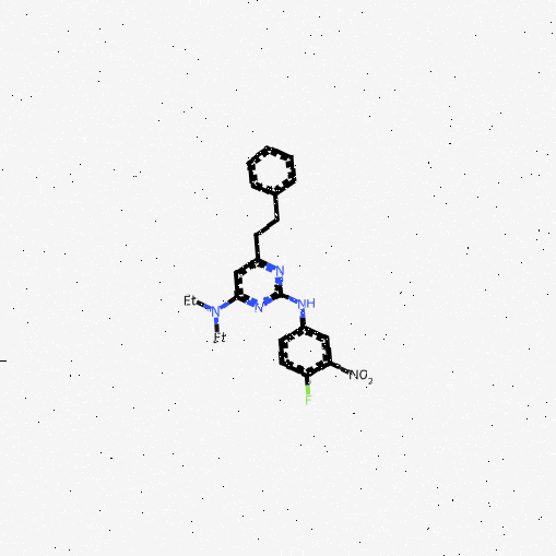 CCN(CC)c1cc(CCc2ccccc2)nc(Nc2ccc(F)c([N+](=O)[O-])c2)n1